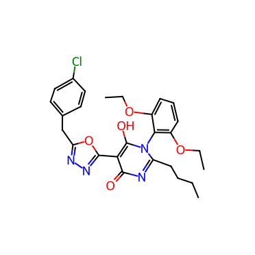 CCCCc1nc(=O)c(-c2nnc(Cc3ccc(Cl)cc3)o2)c(O)n1-c1c(OCC)cccc1OCC